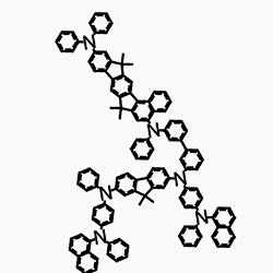 CC1(C)c2cc(N(c3ccccc3)c3ccc(N(c4ccccc4)c4cccc5ccccc45)cc3)ccc2-c2ccc(N(c3ccc(N(c4ccccc4)c4cccc5ccccc45)cc3)c3cccc(-c4cccc(N(c5ccccc5)c5cc6c(c7ccccc57)-c5cc7c(cc5C6(C)C)-c5ccc(N(c6ccccc6)c6ccccc6)cc5C7(C)C)c4)c3)cc21